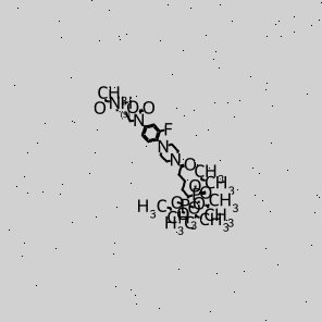 CC(=O)NC[C@H]1CN(c2ccc(N3CCN(C(=O)CCCC(P(=O)(OC(C)C)OC(C)C)P(=O)(OC(C)C)OC(C)C)CC3)c(F)c2)C(=O)O1